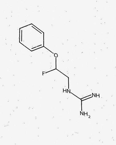 N=C(N)NCC(F)Oc1ccccc1